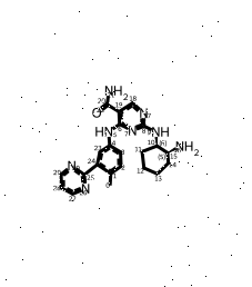 Cc1ccc(Nc2nc(N[C@@H]3CCCC[C@@H]3N)ncc2C(N)=O)cc1-c1ncccn1